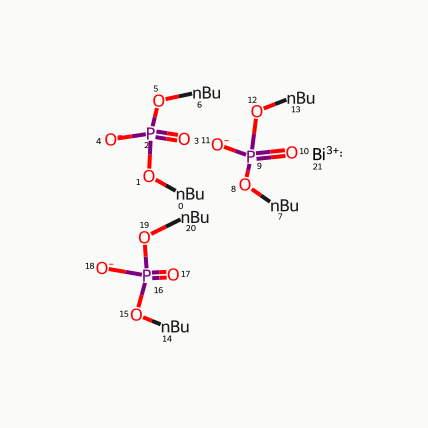 CCCCOP(=O)([O-])OCCCC.CCCCOP(=O)([O-])OCCCC.CCCCOP(=O)([O-])OCCCC.[Bi+3]